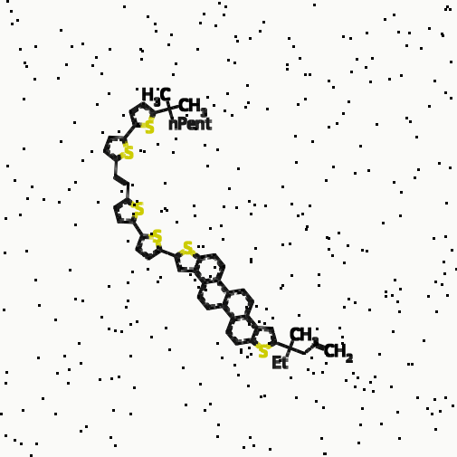 C=CCC(C)(CC)c1cc2c(ccc3c2ccc2c4ccc5sc(-c6ccc(-c7ccc(/C=C/c8ccc(-c9ccc(C(C)(C)CCCCC)s9)s8)s7)s6)cc5c4ccc32)s1